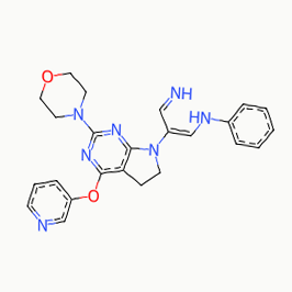 N=C/C(=C\Nc1ccccc1)N1CCc2c(Oc3cccnc3)nc(N3CCOCC3)nc21